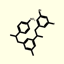 Cc1cc(CC(C)c2ccc([N+](=O)[O-])cc2)cc(C(C)Cc2cc(F)cc(C(C)C)c2)c1